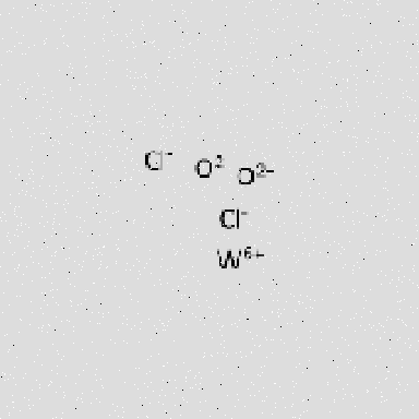 [Cl-].[Cl-].[O-2].[O-2].[W+6]